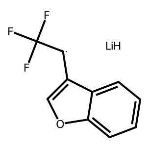 FC(F)(F)[CH]c1coc2ccccc12.[LiH]